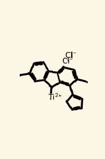 Cc1ccc2c(c1)[CH]([Ti+2])c1c-2ccc(C)c1C1=CC=CC1.[Cl-].[Cl-]